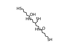 O=C(CCCCS)NCCC(CS)CCNC(O)CCCCS